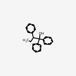 CCC(c1ccccc1)C(O)(c1ccccc1)c1ccccc1